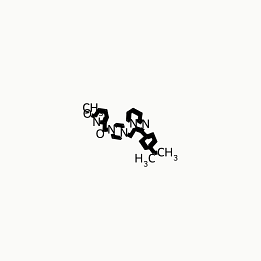 COc1cccc(C(=O)N2CCN(Cc3c(-c4ccc(C(C)C)cc4)nc4ccccn34)CC2)n1